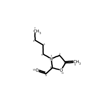 C=C1CN(CCCC)C(C=O)O1